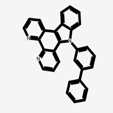 c1ccc(-c2cccc(-n3c4ccccc4c4c5cccnc5c5ncccc5c43)c2)cc1